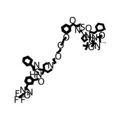 C[C@@H](C(=O)N[C@H](C(=O)N1CCC[C@H]1c1nc(C(=O)c2cccc(OCCOCCOCCN3CCC(CNC(=O)c4cccc(-c5noc(C(F)(F)F)n5)c4)(c4nc(-c5ccccc5)cs4)CC3)c2)cs1)C1CCCCC1)N(C)C(=O)OC(C)(C)C